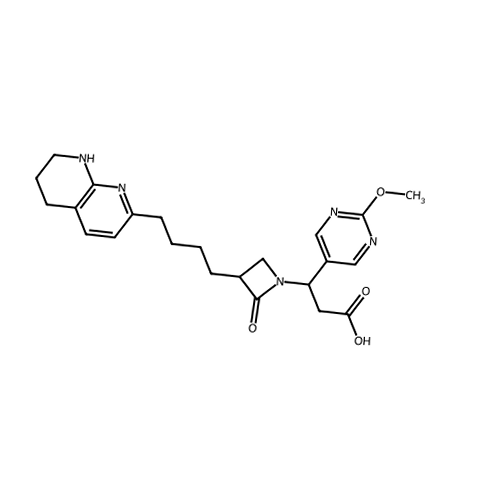 COc1ncc(C(CC(=O)O)N2CC(CCCCc3ccc4c(n3)NCCC4)C2=O)cn1